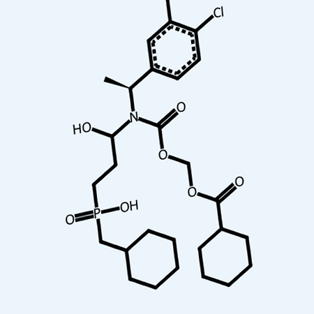 C[C@@H](c1ccc(Cl)c(Cl)c1)N(C(=O)OCOC(=O)C1CCCCC1)C(O)CCP(=O)(O)CC1CCCCC1